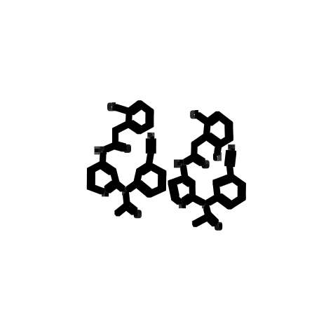 CC(=O)N(c1cccc(C#N)c1)c1cc(NC(=O)Cc2c(Cl)cccc2Cl)ccn1.CC(=O)N(c1cccc(C#N)c1)c1cc(NC(=O)Cc2ccccc2Cl)ccn1